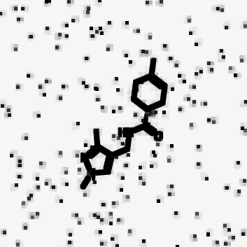 CC1=CC[C@H](C(=O)NCc2cn(C)nc2C)CC1